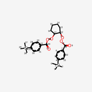 C[Si](C)(C)c1ccc(C(=O)OO[C]2CC[CH]CC2OOC(=O)c2ccc([Si](C)(C)C)cc2)cc1